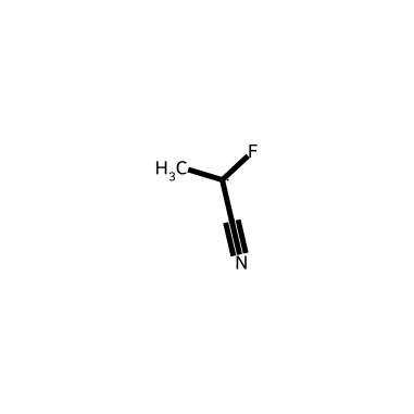 C[C](F)C#N